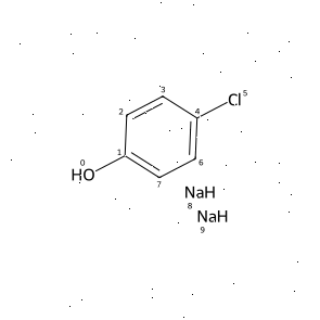 Oc1ccc(Cl)cc1.[NaH].[NaH]